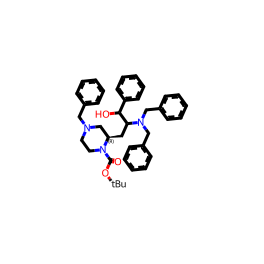 CC(C)(C)OC(=O)N1CCN(Cc2ccccc2)C[C@H]1CC(C(O)c1ccccc1)N(Cc1ccccc1)Cc1ccccc1